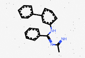 CC(=N)/N=C(\Nc1cccc(-c2ccccc2)c1)c1ccccc1